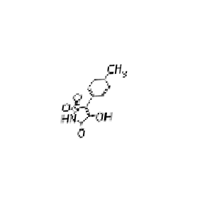 Cc1ccc(C2=C(O)C(=O)NS2(=O)=O)cc1